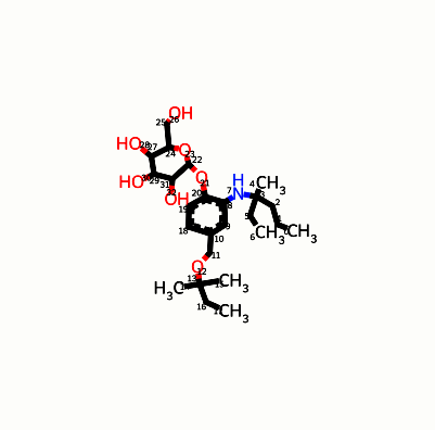 CCCC(C)(CC)Nc1cc(COC(C)(C)CC)ccc1OC1OC(CO)C(O)C(O)C1O